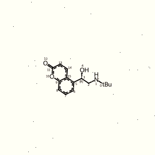 CC(C)(C)NC[C@H](O)c1cccc2oc(=O)ccc12